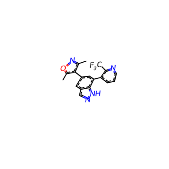 Cc1noc(C)c1-c1cc(-c2cccnc2C(F)(F)F)c2[nH]ncc2c1